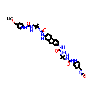 CC(C)(CNC(=O)Nc1ccc(CN=C=O)cc1)CNC(=O)Nc1ccc2c(c1)Cc1cc(NC(=O)NCC(C)(C)CNC(=O)Nc3ccc(COC#N)cc3)ccc1-2